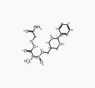 CN(C(=O)OSCC(N)=O)S(=O)OCC1COC(c2ccccc2)OC1